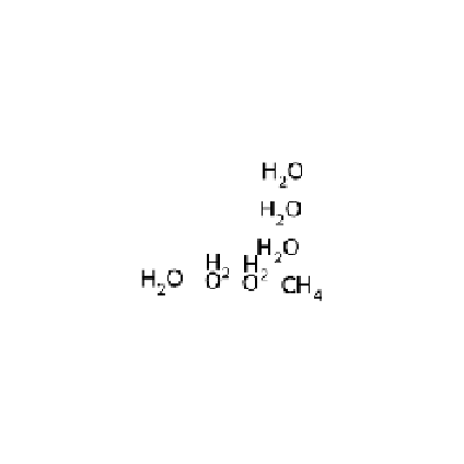 C.O.O.O.O.O.O